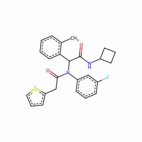 Cc1ccccc1C(C(=O)NC1CCC1)N(C(=O)Cc1cccs1)c1cccc(F)c1